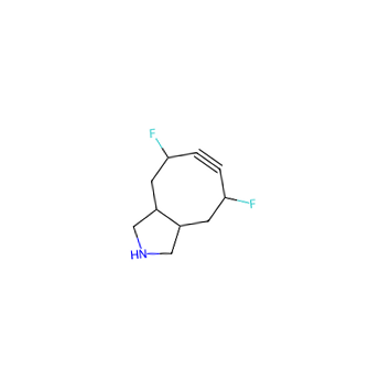 FC1C#CC(F)CC2CNCC2C1